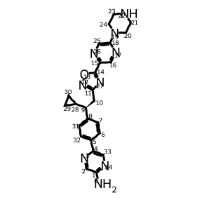 Nc1cnc(-c2ccc([C@H](Cc3noc(-c4cnc(N5CCNCC5)cn4)n3)C3CC3)cc2)cn1